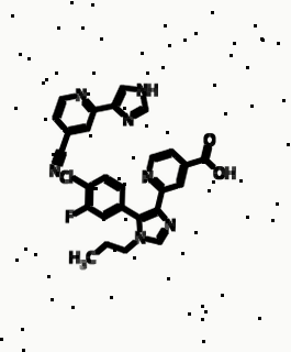 CCCn1cnc(-c2cc(C(=O)O)ccn2)c1-c1ccc(Cl)c(F)c1.N#Cc1ccnc(-c2c[nH]cn2)c1